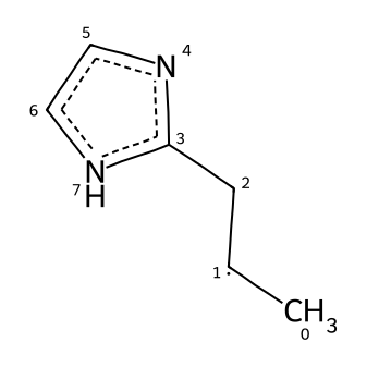 C[CH]Cc1ncc[nH]1